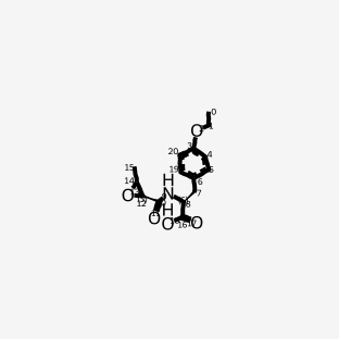 CCOc1ccc(C[C@H](NC(=O)[C@H]2OC2C)C(=O)O)cc1